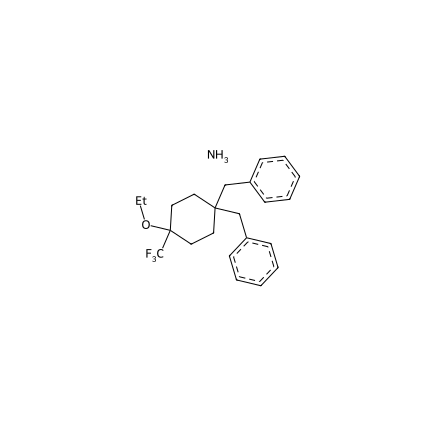 CCOC1(C(F)(F)F)CCC(Cc2ccccc2)(Cc2ccccc2)CC1.N